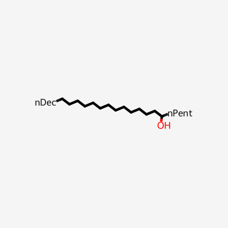 CCCCCCCCCCCCCCCCCCCCCCCC(O)CCCCC